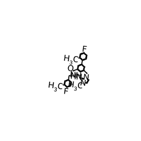 Cc1cc(CNC(=O)c2cc(Cn3ccn(C)c3=N)cc(-c3ccc(F)cc3C)c2)ccc1F